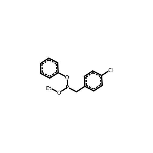 CCOP(Cc1ccc(Cl)cc1)Oc1ccccc1